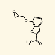 CC(=O)c1cc2cccc(OCC3CO3)c2o1